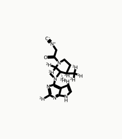 [2H]c1nc(N(C)[C@@]2([2H])C([2H])([2H])N(C(=O)C[N+]#[C-])CC[C@@]2([2H])C([2H])([2H])[2H])c2c([2H])c[nH]c2n1